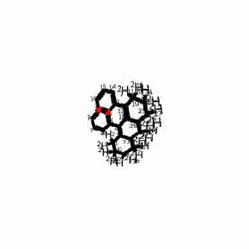 [2H]C1([2H])C2=C(c3ccccc3)C3=C(c4ccccc4)C([2H])([2H])C([2H])([2H])C([2H])([2H])C3([2H])C([2H])([2H])C2([2H])C([2H])([2H])C([2H])([2H])C1([2H])[2H]